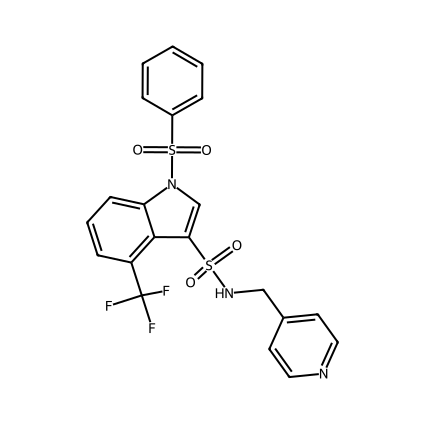 O=S(=O)(NCc1ccncc1)c1cn(S(=O)(=O)c2ccccc2)c2cccc(C(F)(F)F)c12